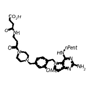 CCCCCNc1nc(N)nc2ccn(Cc3ccc(CN4CCN(C(=O)CCNC(=O)CCC(=O)O)CC4)cc3OC)c12